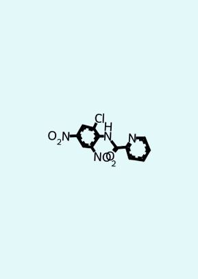 O=C(Nc1c(Cl)cc([N+](=O)[O-])cc1[N+](=O)[O-])c1ccccn1